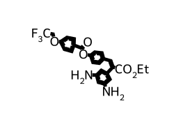 CCOC(=O)C(=Cc1ccc(OC(=O)c2ccc(OCC(F)(F)F)cc2)cc1)c1cc(N)cc(N)c1